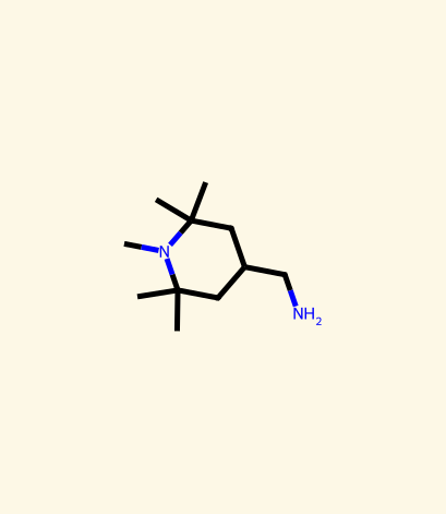 CN1C(C)(C)CC(CN)CC1(C)C